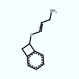 NC/C=C/OC1Cc2ccccc21